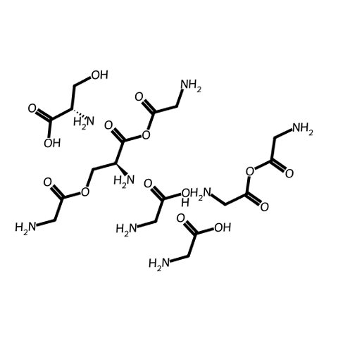 NCC(=O)O.NCC(=O)O.NCC(=O)OC(=O)CN.NCC(=O)OC[C@H](N)C(=O)OC(=O)CN.N[C@@H](CO)C(=O)O